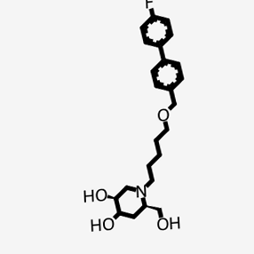 OC[C@H]1CC(O)[C@@H](O)CN1CCCCCOCc1ccc(-c2ccc(F)cc2)cc1